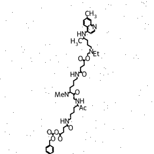 CCN(CCCC(C)Nc1ccnc2cc(C)ccc12)COC(=O)CCC(=O)NCCCCC(NC)C(=O)CNC(CCCCNC(=O)CCC(=O)OC(=O)OCc1ccccc1)C(C)=O